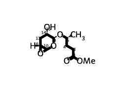 COC(=O)CC[C@@H](C)O[C@@H]1OC2O[C@@H]2C[C@@H]1O